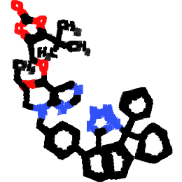 CCCCN(Cc1ccc(-c2ccccc2-c2nnnn2C(c2ccccc2)(c2ccccc2)c2ccccc2)cc1)c1ncncc1C(=O)OCc1oc(=O)oc1C(C)(C)C